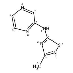 Cc1nsc(Nc2cnccn2)n1